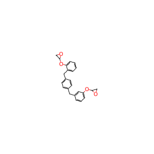 c1cc(Cc2ccc(Cc3ccccc3OC3CO3)cc2)cc(OC2CO2)c1